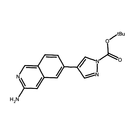 CC(C)(C)OC(=O)n1cc(-c2ccc3cnc(N)cc3c2)cn1